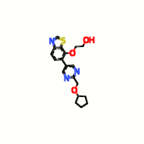 OCCOc1c(-c2cnc(COC3CCCC3)nc2)ccc2ncsc12